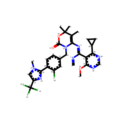 C=N/C(=N\C1=C(C)C(C)(C)OC(=O)N1Cc1ccc(-c2nc(C(F)(F)F)cn2C)c(F)c1)c1c(OC)ncnc1C1CC1